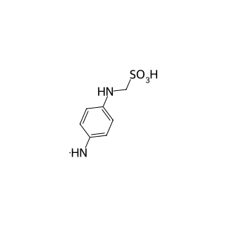 [NH]c1ccc(NCS(=O)(=O)O)cc1